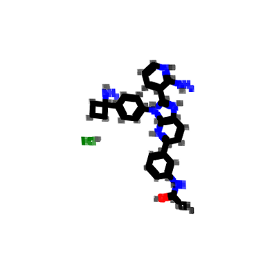 CC(=O)Nc1cccc(-c2ccc3nc(-c4cccnc4N)n(-c4ccc(C5(N)CCC5)cc4)c3n2)c1.Cl